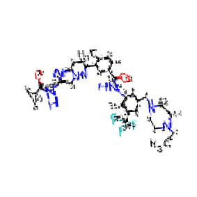 CCN1CCN(Cc2cc(NC(=O)c3ccc(C)c(-c4ccc5nc(NC(=O)C6CC6)cn5n4)c3)cc(C(F)(F)F)c2)CC1